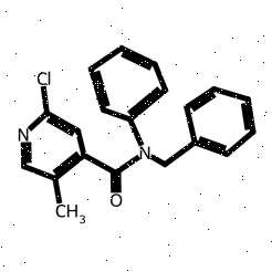 Cc1cnc(Cl)cc1C(=O)N(Cc1ccccc1)c1ccccc1